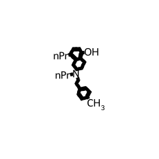 CCCc1ccc(O)c2c1C[C@@H](N(CCC)CCc1ccc(C)cc1)CC2